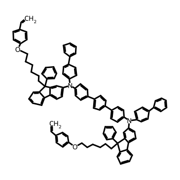 C=Cc1ccc(OCCCCCCC2(c3ccccc3)c3ccccc3-c3ccc(N(c4ccc(-c5ccccc5)cc4)c4ccc(-c5ccc(-c6ccc(N(c7ccc(-c8ccccc8)cc7)c7ccc8c(c7)C(CCCCCCOc7ccc(C=C)cc7)(c7ccccc7)c7ccccc7-8)cc6)cc5)cc4)cc32)cc1